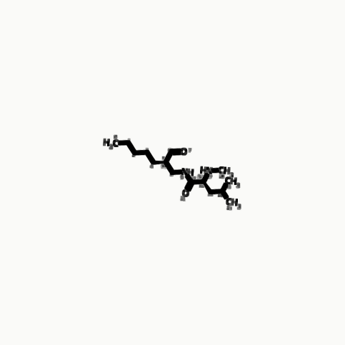 CCCCC[C@@H](C=O)CNC(=O)[C@H](CC(C)C)NC